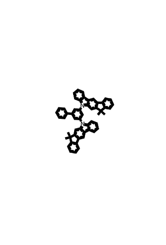 CC1(C)c2ccccc2-c2cc3c4ccccc4n(-c4cc(-c5ccccc5)cc(-n5c6ccccc6c6cc7c(cc65)C(C)(C)c5ccccc5-7)c4)c3cc21